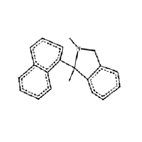 CN1Cc2ccccc2C1(C)c1cccc2ccccc12